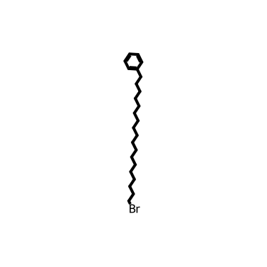 BrCCCCCCCCCCCCCCCCCCc1ccccc1